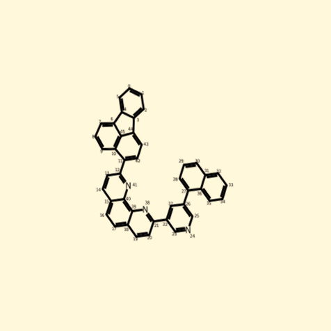 c1ccc2c(c1)-c1cccc3c(-c4ccc5ccc6ccc(-c7cncc(-c8cccc9ccccc89)c7)nc6c5n4)ccc-2c13